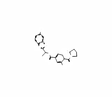 CC(=O)[C@H]1CCCN1C(=O)C1CC=C(C(=O)NC(C)c2nc3cc(Cl)ccc3[nH]2)C=C1Cl